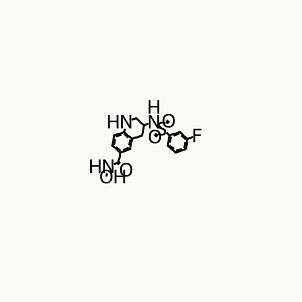 O=C(NO)c1ccc2c(c1)CC(NS(=O)(=O)c1cccc(F)c1)CN2